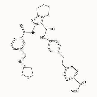 COC(=O)c1ccc(CCc2ccc(NC(=O)c3c(NC(=O)c4cccc(CN[C@@H]5CCOC5)c4)sc4c3CCCC4)cc2)cc1